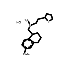 COc1ccc2c(c1)CCCC2CN(C)CCC1CCCS1.Cl